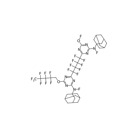 FOc1nc(N(F)C23CC4CC(CC(C4)C2)C3)nc(C(F)(F)C(F)(F)C(F)(F)C(F)(F)c2nc(OCC(F)(F)C(F)(F)C(F)(F)C(F)(F)F)nc(N(F)C34CC5CC(CC(C5)C3)C4)n2)n1